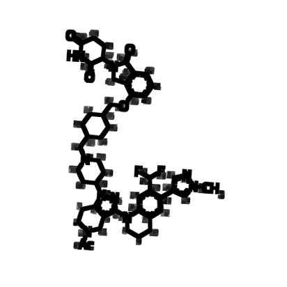 CC(=O)N1CCc2c(c(N3CCCc4cc(-c5cnn(C)c5)c(C(F)F)cc43)nn2C2CCN(CC3CCC(COc4cccc5c4CN(C4CCC(=O)NC4=O)C5=O)CC3)CC2)C1